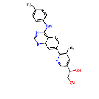 Cc1cc(C(O)CO)cnc1-c1ccc2c(Nc3ccc(C(F)(F)F)cc3)ncnc2c1